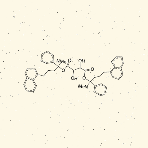 CNC(CCCc1cccc2ccccc12)(OC(=O)C(O)C(O)C(=O)OC(CCCc1cccc2ccccc12)(NC)c1ccccc1)c1ccccc1